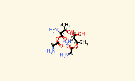 C[C@@H](O)[C@H](N)C(=O)OC(=O)CN.C[C@@H](OC(=O)CN)[C@H](N)C(=O)O